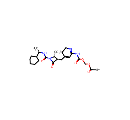 CCOC(=O)[C@@H]1[C@@H](CC2=CC(NC(=O)OCOC(=O)C(C)C)=NCC2)C(=O)N1C(=O)N[C@H](C)C1CCCCC1